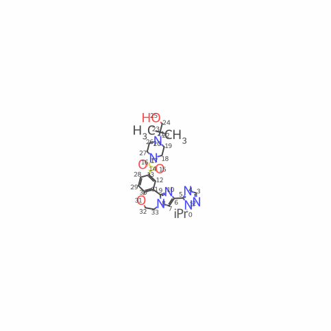 CC(C)n1ncnc1-c1cn2c(n1)-c1cc(S(=O)(=O)N3CCN(C(C)(C)CO)CC3)ccc1OCC2